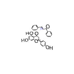 O=C(/C=C/c1ccccc1)c1ccccc1.O=C1C[C@@H](c2ccc(O)cc2)Oc2cc(O)cc(O)c21